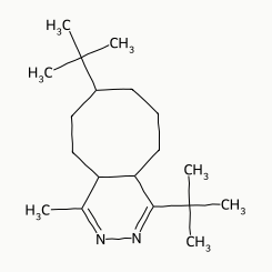 CC1=NN=C(C(C)(C)C)C2CCCC(C(C)(C)C)CCC12